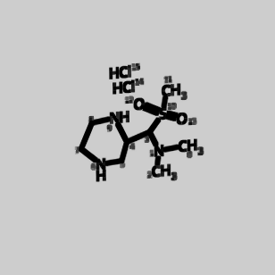 CN(C)C(C1CNCCN1)S(C)(=O)=O.Cl.Cl